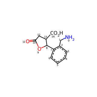 NCc1ccccc1C1OC(=O)CC1C(=O)O